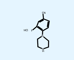 Cl.N#Cc1ccc(N2CCNCC2)c(F)c1